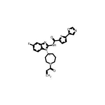 C=CC(=O)N1CCC[C@@H](n2c(NC(=O)c3ccc(-c4cnco4)s3)nc3cc(F)ccc32)CC1